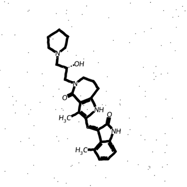 Cc1cccc2c1/C(=C/c1[nH]c3c(c1C)C(=O)N(C[C@@H](O)CN1CCCCC1)CCC3)C(=O)N2